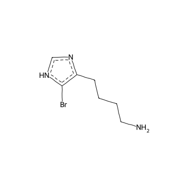 NCCCCc1nc[nH]c1Br